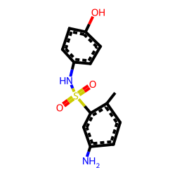 Cc1ccc(N)cc1S(=O)(=O)Nc1ccc(O)cc1